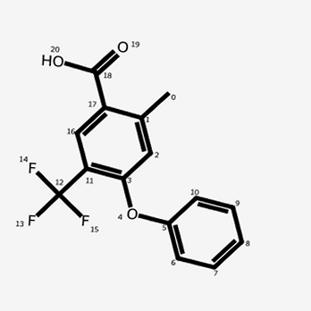 Cc1cc(Oc2ccccc2)c(C(F)(F)F)cc1C(=O)O